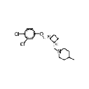 CC1CCN(C[C@H]2CC[C@H]2COc2ccc(Cl)c(Cl)c2)CC1